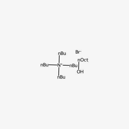 CCCCCCCCO.CCCC[N+](CCCC)(CCCC)CCCC.[Br-]